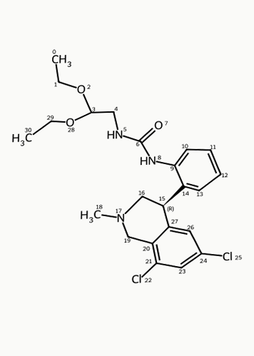 CCOC(CNC(=O)Nc1ccccc1[C@@H]1CN(C)Cc2c(Cl)cc(Cl)cc21)OCC